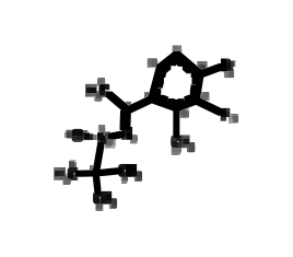 CC(=N[S@@+]([O-])C(C)(C)C)c1ccc(Br)c(F)c1C